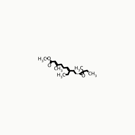 CC/C(=C\CC/C(C)=C/C(=O)OC)CC[C@H]1O[C@@]1(C)CC